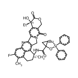 CC[C@@]1(O)C(=O)OCc2c1cc1n(c2=O)Cc2c-1nc1cc(F)c(C)c3c1c2[C@@](C)(NC(=O)C1(O[Si](c2ccccc2)(c2ccccc2)C(C)(C)C)CC1)CC3